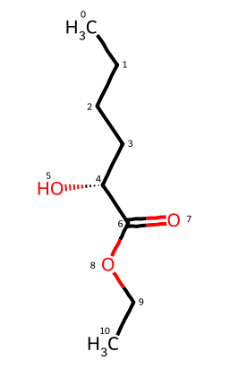 CCCC[C@@H](O)C(=O)OCC